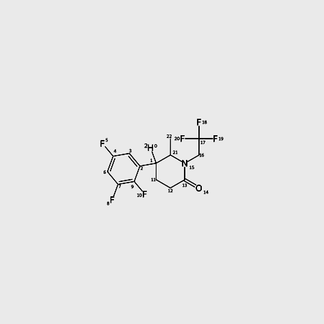 [2H]C1(c2cc(F)cc(F)c2F)CCC(=O)N(CC(F)(F)F)C1C